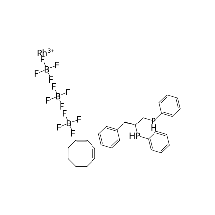 C1=C\CCCC\C=C/1.F[B-](F)(F)F.F[B-](F)(F)F.F[B-](F)(F)F.[Rh+3].c1ccc(C[C@@H](CPc2ccccc2)Pc2ccccc2)cc1